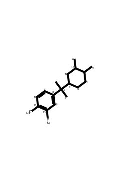 CC1CCC(C(C)(C)c2ccc(F)c(F)c2)CC1C